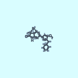 COc1cc(-c2nc(Br)c3c(n2)NC(=O)C3(C)C)nn1Cc1ccccc1